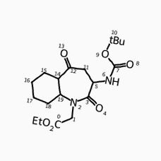 CCOC(=O)CN1C(=O)C(NC(=O)OC(C)(C)C)CC(=O)C2CCCCC21